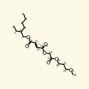 CCCCC(CC)COC(=O)/C=C/C(=O)OCC(=O)OCCCOC